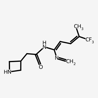 C=N/C(=C\C=C(/C)C(F)(F)F)NC(=O)CC1CNC1